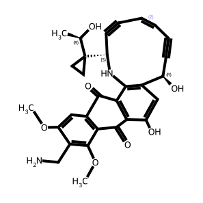 COc1cc2c(c(OC)c1CN)C(=O)c1c(O)cc3c(c1C2=O)N[C@H](C1([C@@H](C)O)CC1)C#C/C=C\C#C[C@H]3O